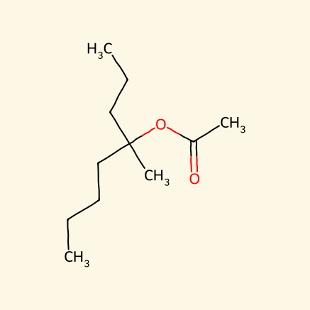 CCCCC(C)(CCC)OC(C)=O